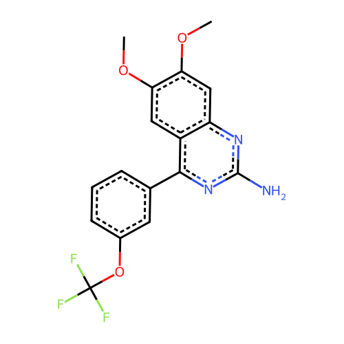 COc1cc2nc(N)nc(-c3cccc(OC(F)(F)F)c3)c2cc1OC